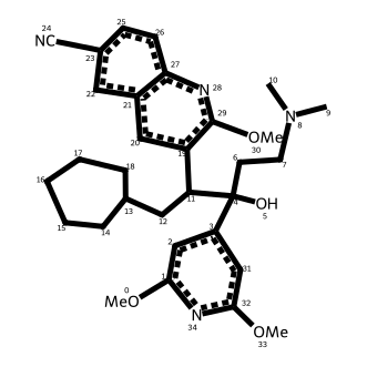 COc1cc(C(O)(CCN(C)C)C(CC2CCCCC2)c2cc3cc(C#N)ccc3nc2OC)cc(OC)n1